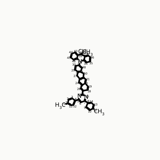 Cc1ccc(-c2cc(-c3ccc(C)cc3)nc(-c3ccc4cc5c(cc4c3)Cc3ccc(N4c6ccccc6C(C)(C)c6ccccc64)cc3C5)n2)cc1